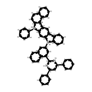 c1ccc(-c2cc(-c3ccccc3)nc(-c3cc(-n4c5ccccc5c5cc6c7c8ccccc8ccc7n(-c7ccccc7)c6cc54)cc4ccccc34)n2)cc1